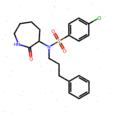 O=C1NCCCCC1N(CCCc1ccccc1)S(=O)(=O)c1ccc(Cl)cc1